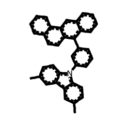 Cc1ccc2c(c1)c1cc(C)ccc1n2-c1cccc(-c2c3ccccc3cc3c2ccc2ccccc23)c1